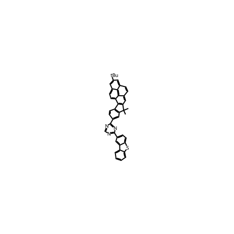 CC(C)(C)c1cc2ccc3cc4c(c5ccc(c1)c2c35)-c1ccc(-c2ncnc(-c3ccc5sc6ccccc6c5c3)n2)cc1C4(C)C